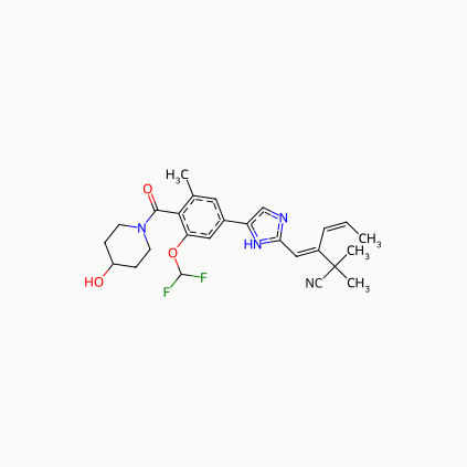 C/C=C\C(=C/c1ncc(-c2cc(C)c(C(=O)N3CCC(O)CC3)c(OC(F)F)c2)[nH]1)C(C)(C)C#N